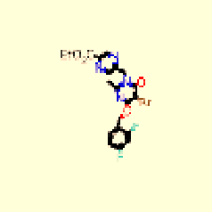 CCOC(=O)c1cnc(Cn2c(C)nc(OCc3ccc(F)cc3F)c(Br)c2=O)cn1